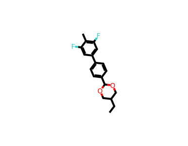 CCC1COC(c2ccc(-c3cc(F)c(C)c(F)c3)cc2)OC1